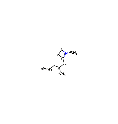 CCCCCCC(C)C[C@@H]1CCN1C